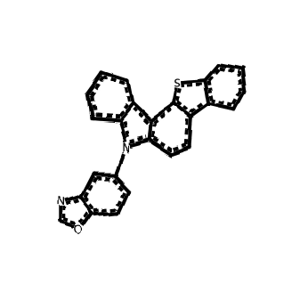 c1ccc2c(c1)sc1c2ccc2c1c1ccccc1n2-c1ccc2ocnc2c1